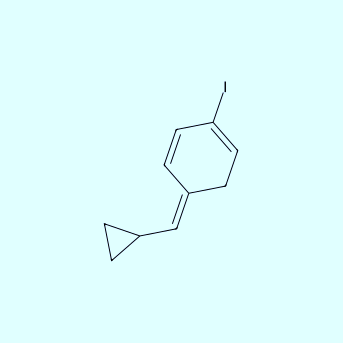 IC1=CCC(=CC2CC2)C=C1